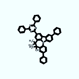 CC1(C)c2cc(-c3ccccc3)ccc2-n2c3ccc(-c4ccccc4)cc3c3cc(-c4nc(-c5ccccc5)nc(-c5ccccc5)n4)cc(c32)C1(C)C